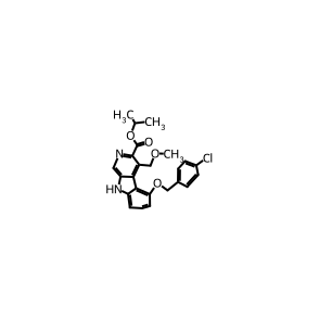 COCc1c(C(=O)OC(C)C)ncc2[nH]c3cccc(OCc4ccc(Cl)cc4)c3c12